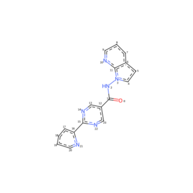 O=C(Nn1ccc2cccnc21)c1cnc(-c2ccccn2)nc1